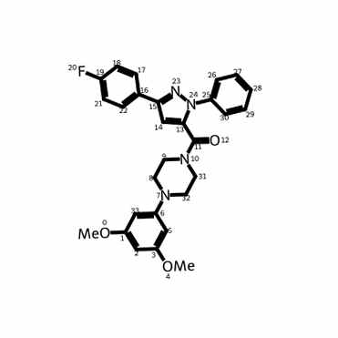 COc1cc(OC)cc(N2CCN(C(=O)c3cc(-c4ccc(F)cc4)nn3-c3ccccc3)CC2)c1